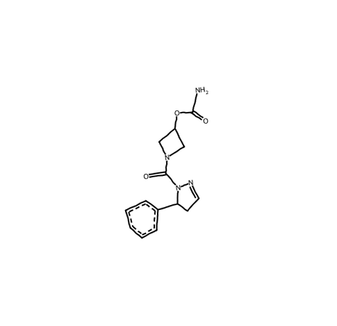 NC(=O)OC1CN(C(=O)N2N=CCC2c2ccccc2)C1